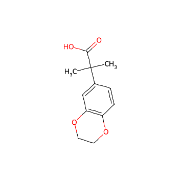 CC(C)(C(=O)O)c1ccc2c(c1)OCCO2